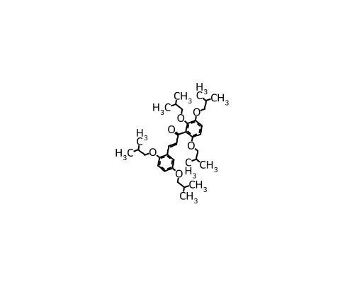 CC(C)COc1ccc(OCC(C)C)c(C=CC(=O)c2c(OCC(C)C)ccc(OCC(C)C)c2OCC(C)C)c1